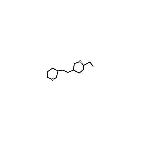 CCC1CCC(CCC2CCCOC2)CO1